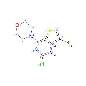 Clc1nc(N2CCOCC2)c2scc(Br)c2n1